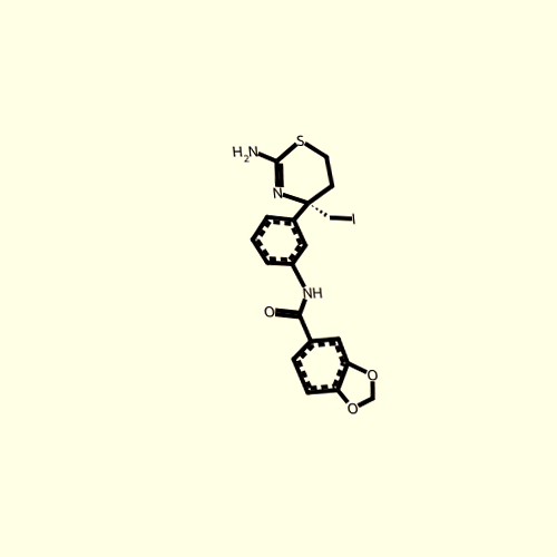 NC1=N[C@](CI)(c2cccc(NC(=O)c3ccc4c(c3)OCO4)c2)CCS1